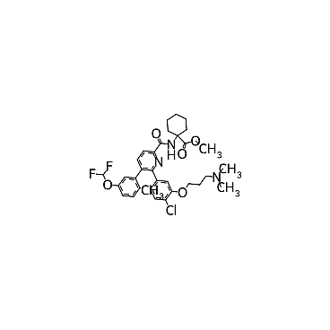 COC(=O)C1(NC(=O)c2ccc(-c3cc(OC(F)F)ccc3C)c(-c3ccc(Cl)c(OCCCN(C)C)c3)n2)CCCCC1